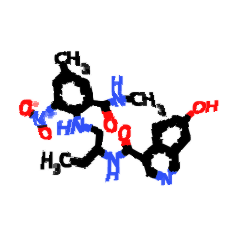 CCC(CNc1c(C(=O)NC)cc(C)cc1[N+](=O)[O-])NC(=O)c1cncc2cc(O)ccc12